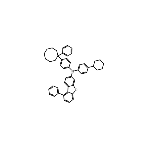 c1ccc(-c2cccc3oc4cc(N(c5ccc(C6CCCCC6)cc5)c5ccc(C6(c7ccccc7)CCCCCCC6)cc5)ccc4c23)cc1